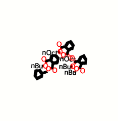 CCCCCCCCOC(=O)c1ccccc1C(=O)OCCCCCCCC.CCCCOC(=O)c1ccccc1C(=O)OCCCC.CCCCOC(=O)c1ccccc1C(=O)OCc1ccccc1